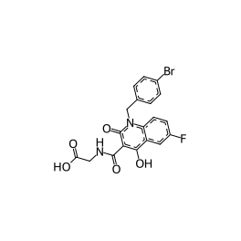 O=C(O)CNC(=O)c1c(O)c2cc(F)ccc2n(Cc2ccc(Br)cc2)c1=O